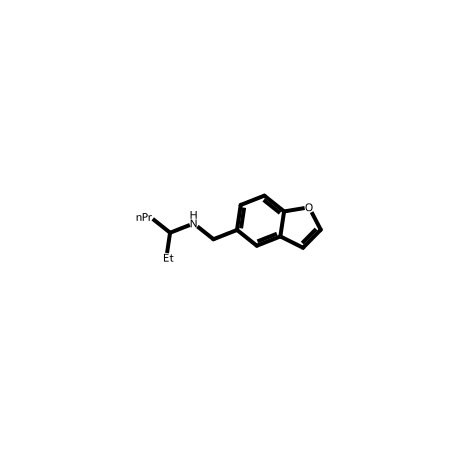 CCCC(CC)NCc1ccc2occc2c1